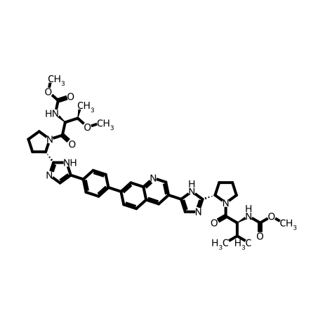 COC(=O)N[C@H](C(=O)N1CCC[C@H]1c1ncc(-c2cnc3cc(-c4ccc(-c5cnc([C@@H]6CCCN6C(=O)[C@@H](NC(=O)OC)[C@@H](C)OC)[nH]5)cc4)ccc3c2)[nH]1)C(C)C